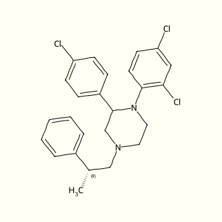 C[C@@H](CN1CCN(c2ccc(Cl)cc2Cl)C(c2ccc(Cl)cc2)C1)c1ccccc1